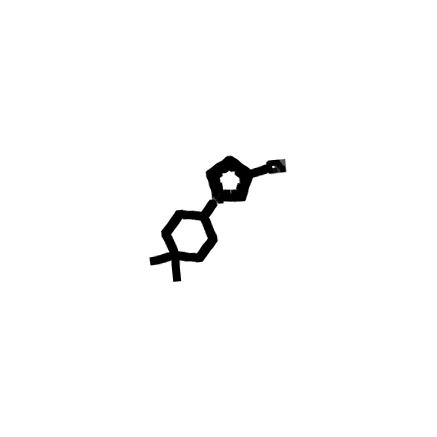 CC1(C)CCC(n2ccc(C#N)c2)CC1